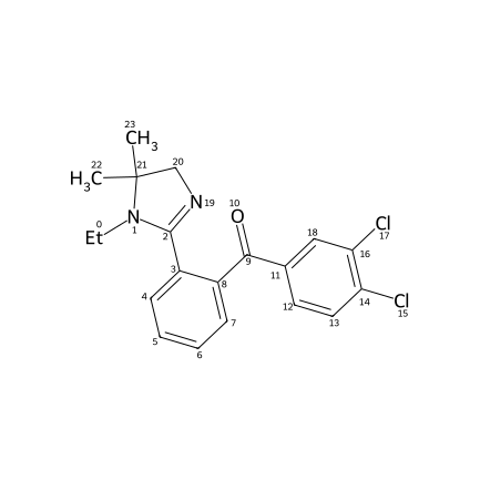 CCN1C(c2ccccc2C(=O)c2ccc(Cl)c(Cl)c2)=NCC1(C)C